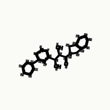 O=C([C@H](O)[C@@H](O)c1cncc(-c2ccccc2)n1)N1Cc2ccccc2C1